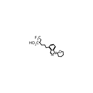 O=C(O)C(CCCc1cccc2c1cnn2C1CCCCO1)CC(F)(F)F